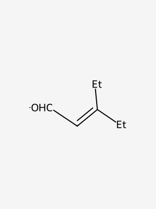 CCC(=C[C]=O)CC